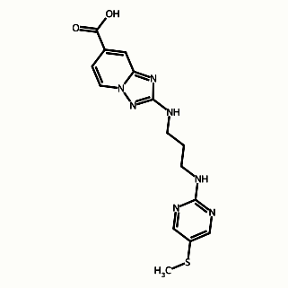 CSc1cnc(NCCCNc2nc3cc(C(=O)O)ccn3n2)nc1